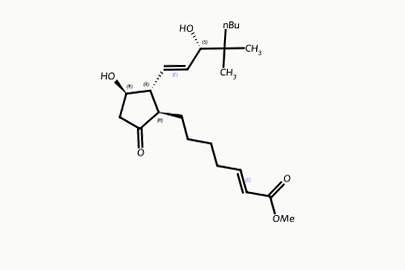 CCCCC(C)(C)[C@@H](O)/C=C/[C@H]1[C@H](O)CC(=O)[C@@H]1CCCC/C=C/C(=O)OC